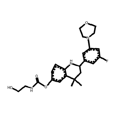 CC1(C)CC(c2cc(F)cc(N3CCOCC3)c2)Nc2ccc(OC(=O)NCCO)cc21